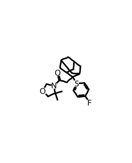 CC1(C)COCN1C(=O)CC1(S2=CC=C(F)C=C2)C2CC3CC(C2)CC1C3